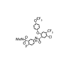 CNS(=O)(=O)c1cc(NC(=O)c2cc(Cl)c(C(F)(F)F)cc2Oc2ccc(OC(F)(F)F)cc2)ccc1F